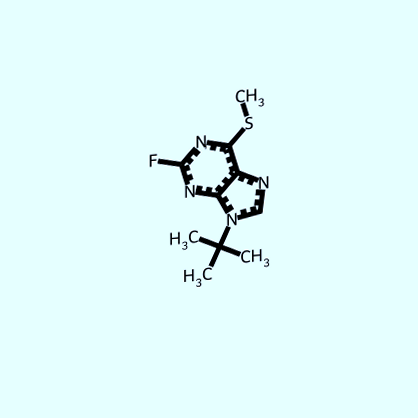 CSc1nc(F)nc2c1ncn2C(C)(C)C